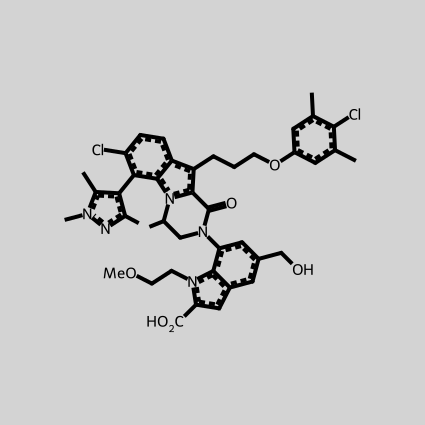 COCCn1c(C(=O)O)cc2cc(CO)cc(N3CC(C)n4c(c(CCCOc5cc(C)c(Cl)c(C)c5)c5ccc(Cl)c(-c6c(C)nn(C)c6C)c54)C3=O)c21